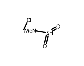 CCl.CN[SH](=O)=O